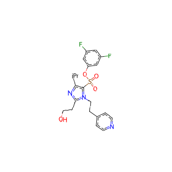 CC(C)c1nc(CCO)n(CCc2ccncc2)c1S(=O)(=O)Oc1cc(F)cc(F)c1